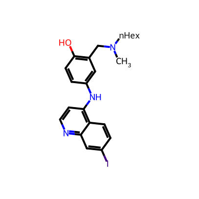 CCCCCCN(C)Cc1cc(Nc2ccnc3cc(I)ccc23)ccc1O